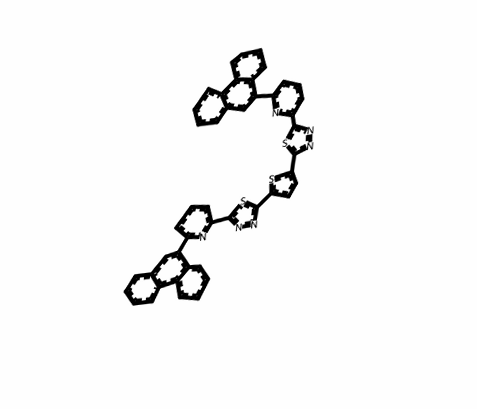 c1cc(-c2nnc(-c3ccc(-c4nnc(-c5cccc(-c6cc7ccccc7c7ccccc67)n5)s4)s3)s2)nc(-c2cc3ccccc3c3ccccc23)c1